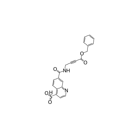 O=C(C#CCNC(=O)c1ccc2c([SH](=O)=O)ccnc2c1)OCc1ccccc1